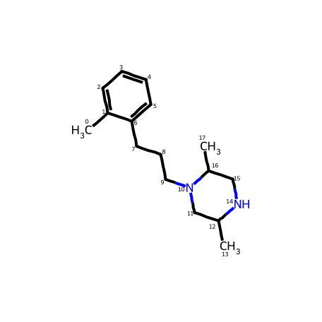 Cc1ccccc1CCCN1CC(C)NCC1C